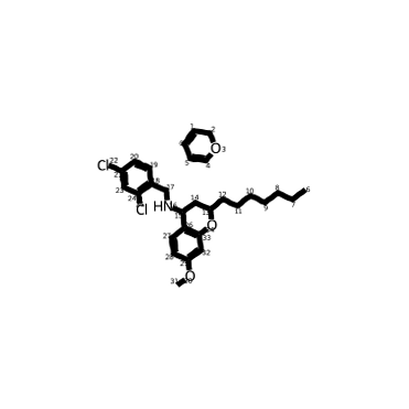 C1=CCOC=C1.CCCCCCCC1CC(NCc2ccc(Cl)cc2Cl)c2ccc(OC)cc2O1